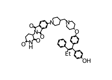 CCC(=C(c1ccc(O)cc1)c1ccc(OC2CCN(CC3CCN(c4ccc5c(c4)C(=O)N(C4CCC(=O)NC4=O)C5=O)CC3)CC2)cc1)c1ccccc1